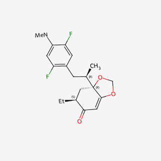 CC[C@H]1C[C@]2([C@H](C)Cc3cc(F)c(NC)cc3F)OCOC2=CC1=O